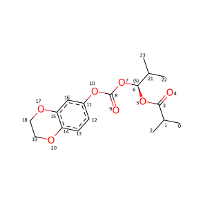 CC(C)C(=O)O[C@@H](OC(=O)Oc1ccc2c(c1)OCCO2)C(C)C